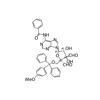 COc1ccc(C(OC[C@@]2(C=O)O[C@@H](n3cnc4c(NC(=O)c5ccccc5)ncnc43)[C@H](O)[C@@]2(O)C=O)(c2ccccc2)c2ccccc2)cc1